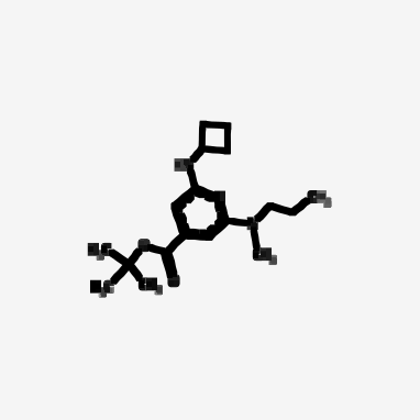 CCCN(C)c1cc(C(=O)OC(C)(C)C)cc(NC2CCC2)n1